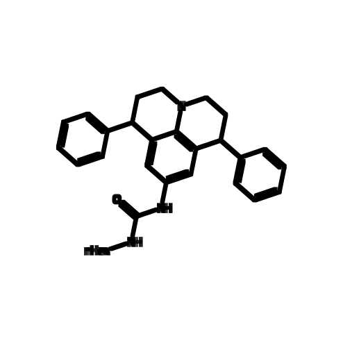 CCCCCCNC(=O)Nc1cc2c3c(c1)C(c1ccccc1)CCN3CCC2c1ccccc1